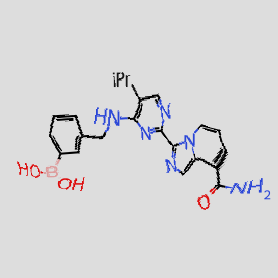 CC(C)c1cnc(-c2ncc3c(C(N)=O)cccn23)nc1NCc1cccc(B(O)O)c1